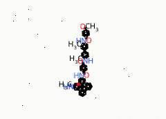 CNc1ccc(C2(c3ccc(NC(=O)c4ccc(C(=O)Nc5ccc(-c6ccc(NC(=O)c7ccc(C(C)=O)cc7)c(C)c6)cc5C)cc4)cc3)c3ccccc3-c3ccccc32)cc1